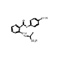 CC(=O)Nc1ccc(OC(=O)c2ccccc2OC(C)=O)cc1.CC(O)C(=O)O